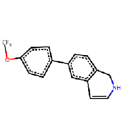 FC(F)(F)Oc1ccc(-c2ccc3c(c2)C=CNC3)cc1